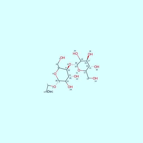 CCCCCCCCCCCO[C@@H]1OC(CO)[C@@H](O[C@H]2OC(CO)[C@@H](O)[C@H](O)C2O)[C@H](O)C1O